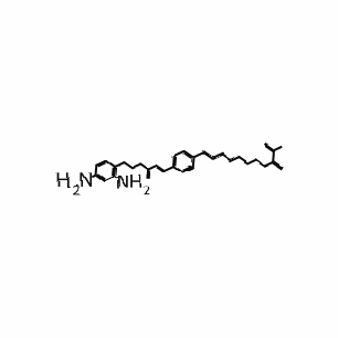 C=C(/C=C/c1ccc(CCCCCCCCC(=C)C(=C)C)cc1)CCCc1ccc(N)cc1N